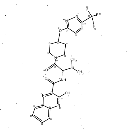 CC(C)[C@H](NC(=O)c1nc2ccccc2nc1O)C(=O)N1CCC(Oc2ccc(C(F)(F)F)nn2)CC1